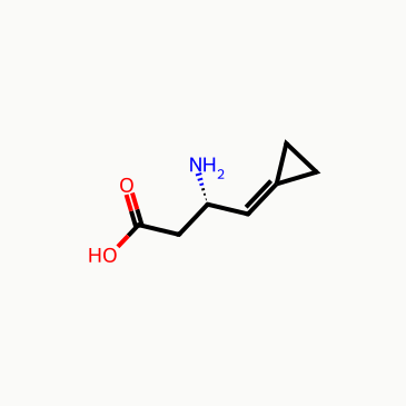 N[C@H](C=C1CC1)CC(=O)O